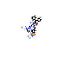 N/C(=N/[N+](=O)[O-])NCCC[C@@H](NC(=O)C(c1ccccc1)c1ccccc1)C(=O)NCc1ccc(S(N)(=O)=O)cc1